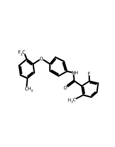 Cc1ccc(C(F)(F)F)c(Oc2ccc(NC(=O)c3c(C)cccc3F)cc2)c1